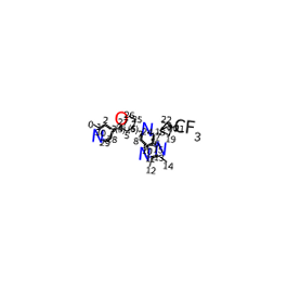 Cc1cc([C@@H]2C[C@@H](c3cc4nc(C)c(C)nc4c([C@]45C[C@@](C(F)(F)F)(C4)C5)n3)CCO2)ccn1